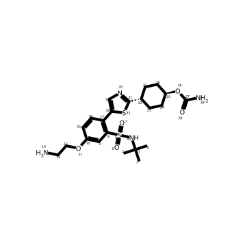 CC(C)(C)NS(=O)(=O)c1cc(OCCN)ccc1-c1cnc([C@H]2CC[C@H](OC(N)=O)CC2)s1